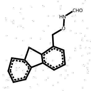 O=CNOCc1cccc2c1Cc1ccccc1-2